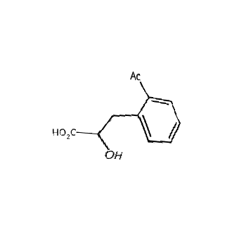 CC(=O)c1ccccc1CC(O)C(=O)O